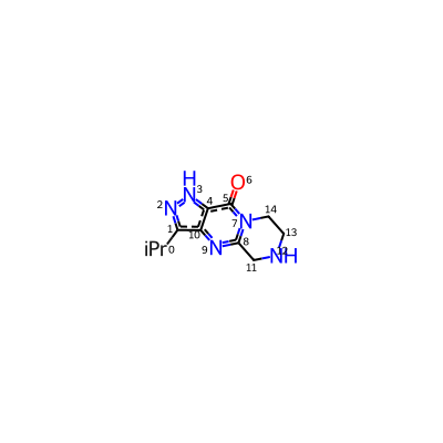 CC(C)c1n[nH]c2c(=O)n3c(nc12)CNCC3